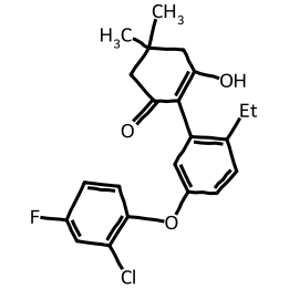 CCc1ccc(Oc2ccc(F)cc2Cl)cc1C1=C(O)CC(C)(C)CC1=O